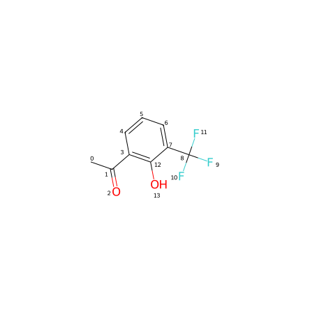 CC(=O)c1cccc(C(F)(F)F)c1O